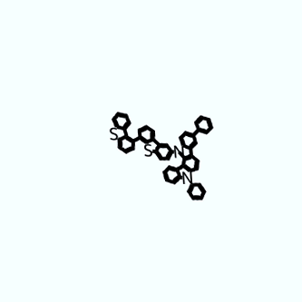 c1ccc(-c2ccc3c(c2)c2ccc4c(c5ccccc5n4-c4ccccc4)c2n3-c2ccc3sc4c(-c5cccc6sc7ccccc7c56)cccc4c3c2)cc1